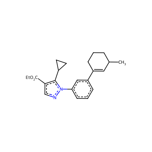 CCOC(=O)c1cnn(-c2cccc(C3=CC(C)CCC3)c2)c1C1CC1